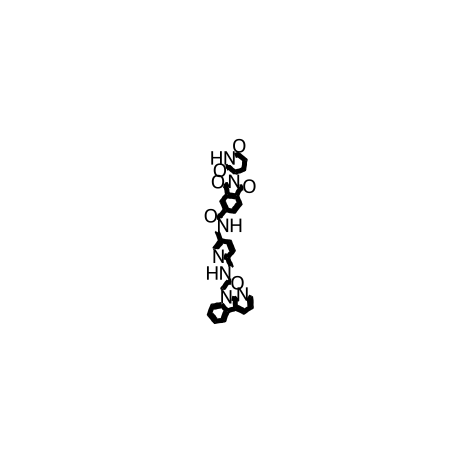 O=C(Cn1c2ccccc2c2cccnc21)NCc1ccc(CNC(=O)c2ccc3c(c2)C(=O)N(C2CCC(=O)NC2=O)C3=O)cn1